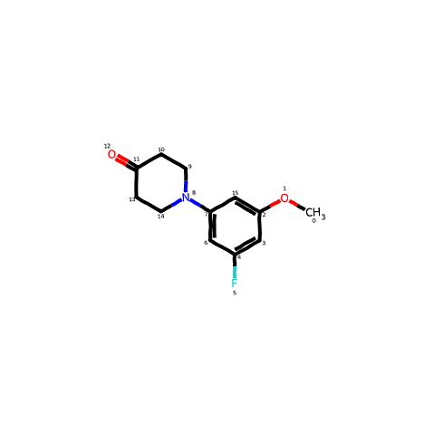 COc1cc(F)cc(N2CCC(=O)CC2)c1